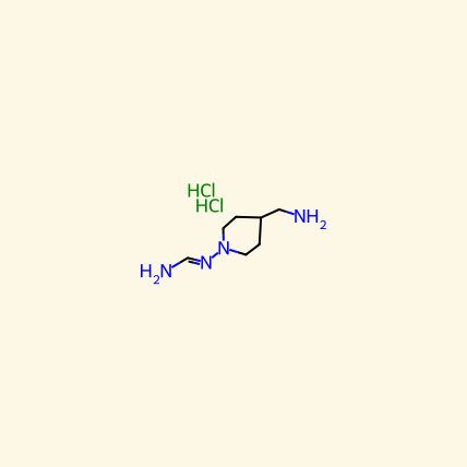 Cl.Cl.NC=NN1CCC(CN)CC1